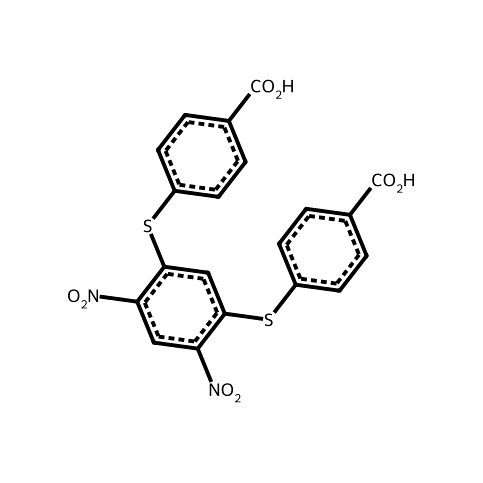 O=C(O)c1ccc(Sc2cc(Sc3ccc(C(=O)O)cc3)c([N+](=O)[O-])cc2[N+](=O)[O-])cc1